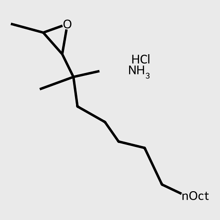 CCCCCCCCCCCCCC(C)(C)C1OC1C.Cl.N